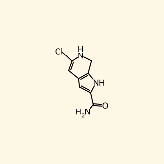 NC(=O)c1cc2c([nH]1)CNC(Cl)=C2